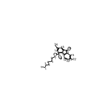 CCCCCCCCOC(=O)c1cc(C)cc2c1-c1ccc(C)cc1C2=O